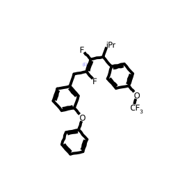 CC(C)C(/C(F)=C(\F)Cc1cccc(Oc2ccccc2)c1)c1ccc(OC(F)(F)F)cc1